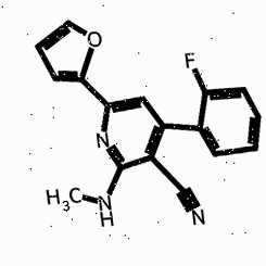 CNc1nc(-c2ccco2)cc(-c2ccccc2F)c1C#N